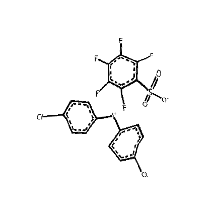 Clc1ccc([I+]c2ccc(Cl)cc2)cc1.O=S(=O)([O-])c1c(F)c(F)c(F)c(F)c1F